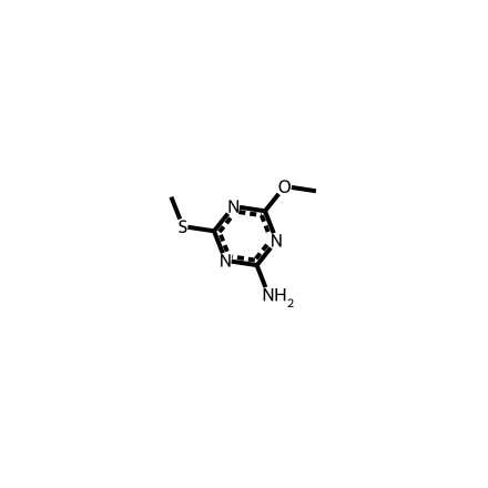 COc1nc(N)nc(SC)n1